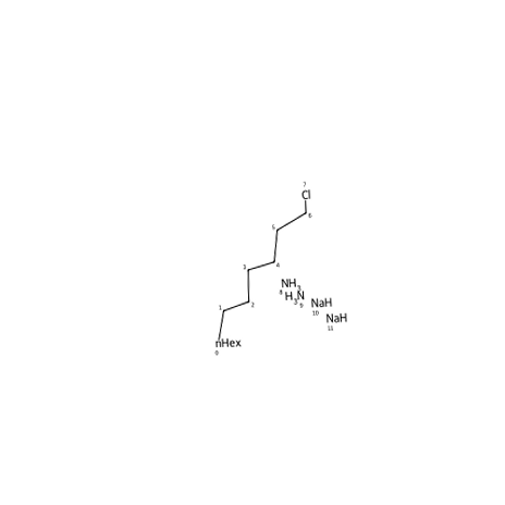 CCCCCCCCCCCCCl.N.N.[NaH].[NaH]